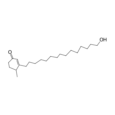 CC1CCC(=O)C=C1CCCCCCCCCCCCCCCO